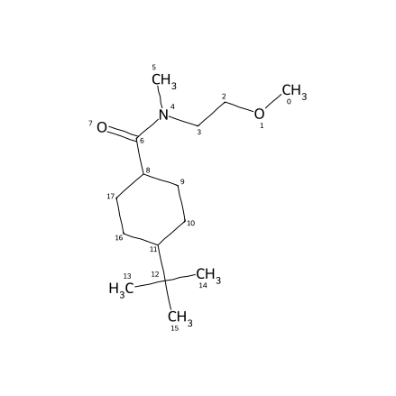 COCCN(C)C(=O)C1CCC(C(C)(C)C)CC1